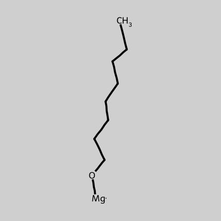 CCCCCCCC[O][Mg]